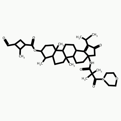 CC(C)C1=C2C3CCC4C(C)(CCC5C(C)C(OC(=O)C6CC(C=O)C6C)CCC54C)C3CCC2(NC(=O)C(C)(C)C(=O)N2CCOCC2)CC1=O